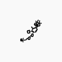 Cc1c(B2OC(C)(C)C(C)(C)O2)ccc(OCOCC[Si](C)(C)C)c1Cl